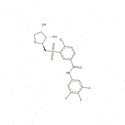 O=C(Nc1cc(F)c(F)c(F)c1)c1ccc(Cl)c(S(=O)(=O)C[C@H]2OC[C@H](O)[C@@H]2O)c1